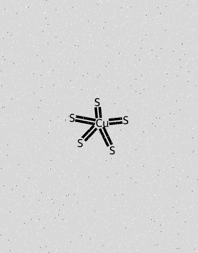 [S]=[Cu](=[S])(=[S])(=[S])=[S]